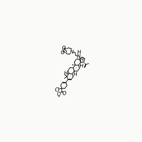 C=C(C)[C@@H]1CC[C@]2(NCCN3CCS(=O)(=O)CC3)CC[C@]3(C)[C@H](CC[C@@H]4[C@@]5(C)CC=C(C6=CCC(Cl)(C(=O)OC)CC6)C(C)(C)[C@@H]5CC[C@]43C)[C@@H]12